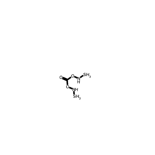 O=C(ON[SiH3])ON[SiH3]